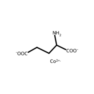 NC(CCC(=O)[O-])C(=O)[O-].[Co+2]